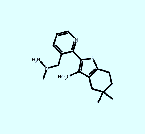 CN(N)Cc1cccnc1-c1sc2c(c1C(=O)O)CC(C)(C)CC2